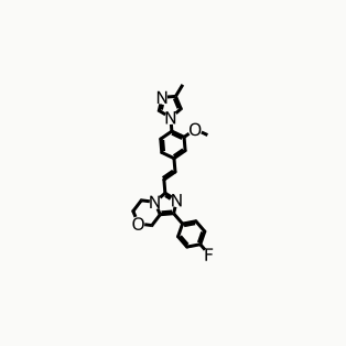 COc1cc(C=Cc2nc(-c3ccc(F)cc3)c3n2CCOC3)ccc1-n1cnc(C)c1